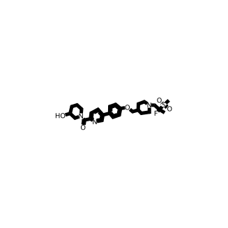 CC(F)(CN1CCC(COc2ccc(-c3ccc(C(=O)N4CCCC(O)C4)nc3)cc2)CC1)S(C)(=O)=O